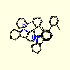 Cc1ccccc1-c1ccc2c([nH]c3ccccc32)c1-c1cccc(-c2ccccc2)c1-c1c(-c2ccccc2C)ccc2c1[nH]c1ccccc12